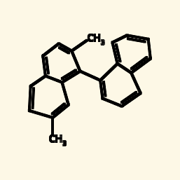 Cc1ccc2ccc(C)c(-c3cccc4ccccc34)c2c1